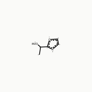 COC(C)c1ncco1